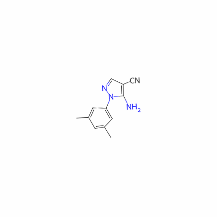 Cc1cc(C)cc(-n2ncc(C#N)c2N)c1